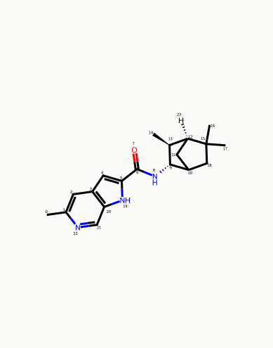 Cc1cc2cc(C(=O)N[C@H]3C4C[C@@H]([C@@H]3C)C(C)(C)C4)[nH]c2cn1